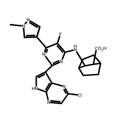 Cn1cc(-c2nc(-c3c[nH]c4ncc(Cl)nc34)nc(NC3C4CCC(CC4)C3C(=O)O)c2F)cn1